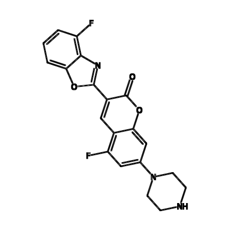 O=c1oc2cc(N3CCNCC3)cc(F)c2cc1-c1nc2c(F)cccc2o1